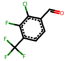 O=Cc1ccc(C(F)(F)F)c(F)c1Cl